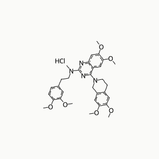 COc1ccc(CCN(C)c2nc(N3CCc4cc(OC)c(OC)cc4C3)c3cc(OC)c(OC)cc3n2)cc1OC.Cl